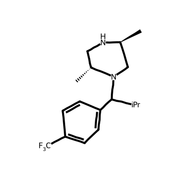 CC(C)C(c1ccc(C(F)(F)F)cc1)N1C[C@H](C)NC[C@H]1C